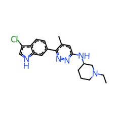 CCN1CCC[C@@H](Nc2cc(C)c(-c3ccc4c(Cl)c[nH]c4c3)nn2)C1